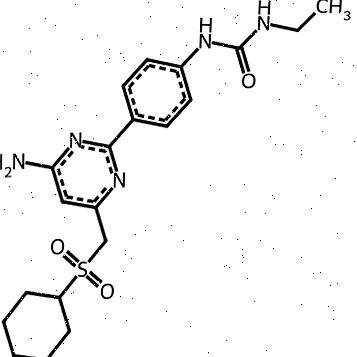 CCNC(=O)Nc1ccc(-c2nc(N)cc(CS(=O)(=O)C3CCCCC3)n2)cc1